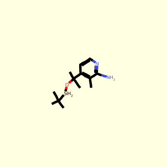 Cc1c(C(C)(C)O[SiH2]C(C)(C)C)ccnc1N